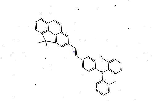 Cc1ccccc1N(c1ccc(/C=C/c2cc3c4c(ccc5cccc(c54)C3(C)C)c2)cc1)c1ccccc1F